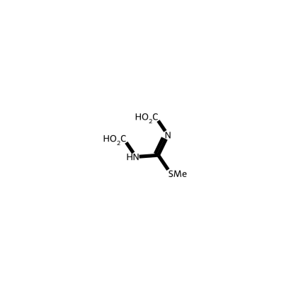 CSC(=NC(=O)O)NC(=O)O